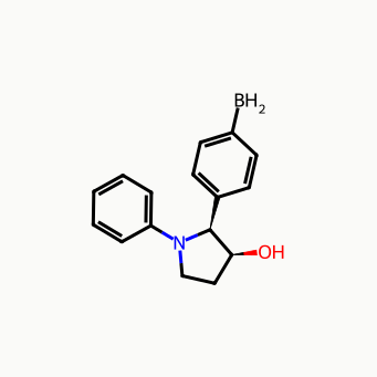 Bc1ccc([C@H]2[C@@H](O)CCN2c2ccccc2)cc1